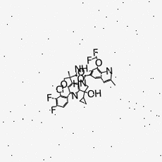 Cc1cnc2c(OC(F)F)cc(C(=O)NCC(O)(c3cc4c(c(-c5ccc(F)c(F)c5Cl)n3)OC[C@]4(C)C(N)=O)C3CC3)cc2c1